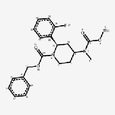 CN(C(=O)OC(C)(C)C)C1CCN(C(=O)OCc2ccccc2)[C@@H](c2ccccc2F)C1